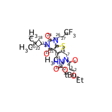 CCOC=CC(=O)N(Cc1sc2c(c1C)c(=O)n(C1CC(C)(C)C1)c(=O)n2CCC(F)(F)F)NC(=O)OC(C)(C)C